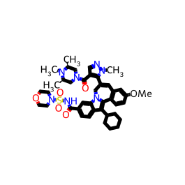 COc1ccc2c(c1)C=C(c1c(C(=O)N3C[C@@H](C)N(C)[C@@H](C)C3)cnn1C)Cn1c-2c(C2CCCCC2)c2ccc(C(=O)NS(=O)(=O)N3CCOCC3)cc21